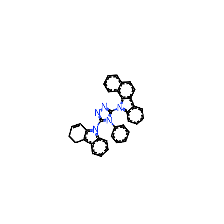 C1=Cc2c(c3ccccc3n2-c2nnc(-n3c4ccccc4c4ccc5ccccc5c43)n2-c2ccccc2)CC1